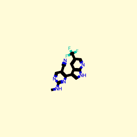 CNc1ncc(C#N)c(-c2c[nH]c3ncc(C(F)(F)F)cc23)n1